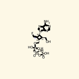 Nc1ncnc2c1ncn2[C@H]1/C(=C\F)[C@@H](COP(=O)(O)OP(=O)(O)OP(=O)(O)O)[C@@H]1CO